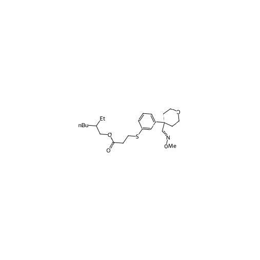 CCCCC(CC)COC(=O)CCSc1cccc(C2(C=NOC)CCOCC2)c1